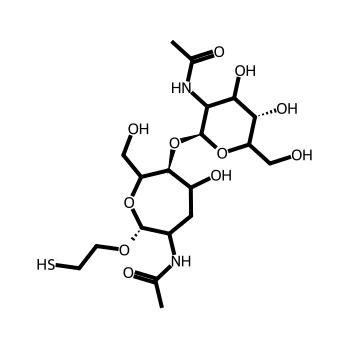 CC(=O)NC1CC(O)[C@H](O[C@@H]2OC(CO)[C@@H](O)C(O)C2NC(C)=O)C(CO)O[C@H]1OCCS